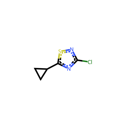 Clc1nsc(C2CC2)n1